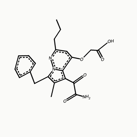 CCCc1cc(OCC(=O)O)c2c(C(=O)C(N)=O)c(C)c(Cc3ccccc3)n2n1